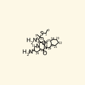 CCSC(C)(C)[C@@H](N)C(=O)N1C[C@H](N)C[C@H]1C(=O)NCC1CCCCC1